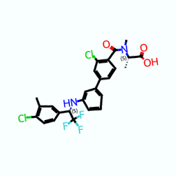 Cc1cc([C@H](Nc2cccc(-c3ccc(C(=O)N(C)[C@@H](C)C(=O)O)c(Cl)c3)c2)C(F)(F)F)ccc1Cl